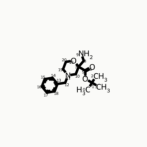 CC(C)(C)OC(=O)C1(CN)CN(Cc2ccccc2)CCO1